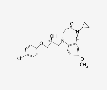 COc1ccc2c(c1)CN(C1CC1)C(=O)CCN2C[C@H](O)COc1ccc(Cl)cc1